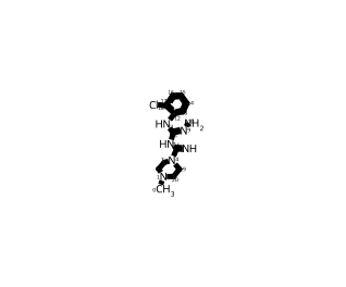 CN1CCN(C(=N)NC(=NN)Nc2ccccc2Cl)CC1